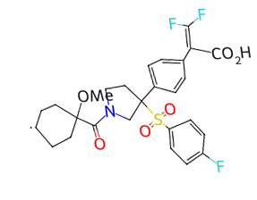 COC1(C(=O)N2CCC(c3ccc(C(C(=O)O)=C(F)F)cc3)(S(=O)(=O)c3ccc(F)cc3)C2)CC[CH]CC1